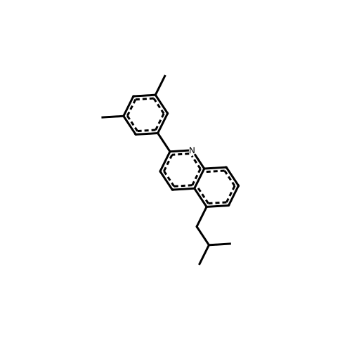 Cc1cc(C)cc(-c2ccc3c(CC(C)C)cccc3n2)c1